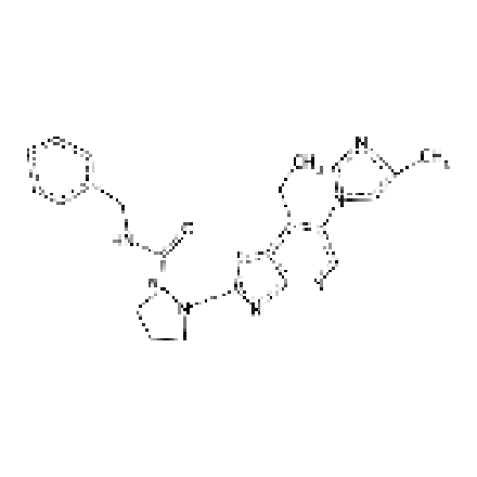 CCc1c(-n2cnc(C)c2)cnc2nc(N3CCC[C@@H]3C(=O)NCc3ccccc3)sc12